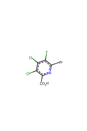 CC(C)c1nc(C(=O)O)c(Cl)c(Cl)c1F